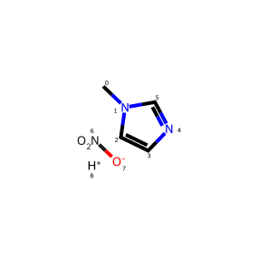 Cn1ccnc1.O=[N+]([O-])[O-].[H+]